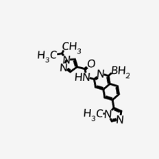 Bc1nc(NC(=O)c2cnn(C(C)C)c2)cc2cc(-c3cncn3C)ccc12